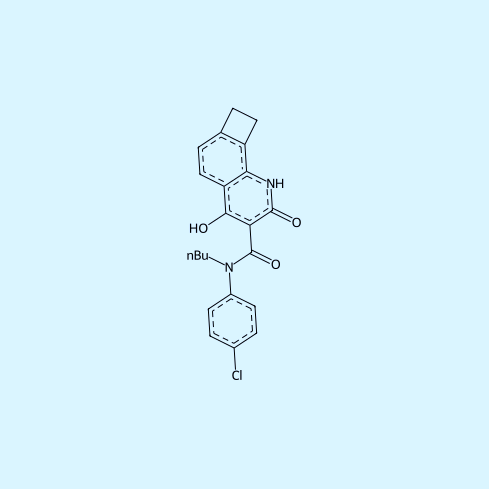 CCCCN(C(=O)c1c(O)c2ccc3c(c2[nH]c1=O)CC3)c1ccc(Cl)cc1